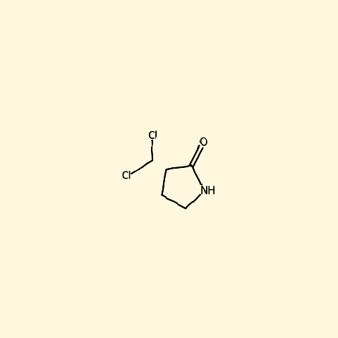 ClCCl.O=C1CCCN1